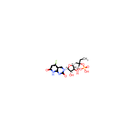 CCC(C)(C[C@H]1O[C@@H](n2cc3c(F)cc(=O)[nH]c3nc2=O)[C@@H](O)C1O)OP(=O)(O)O